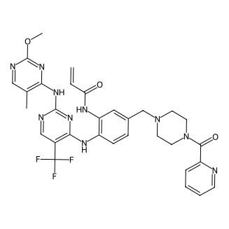 C=CC(=O)Nc1cc(CN2CCN(C(=O)c3ccccn3)CC2)ccc1Nc1nc(Nc2nc(OC)ncc2C)ncc1C(F)(F)F